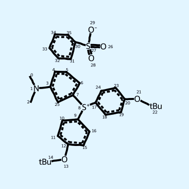 CN(C)c1cccc([S+](c2ccc(OC(C)(C)C)cc2)c2ccc(OC(C)(C)C)cc2)c1.O=S(=O)([O-])c1ccccc1